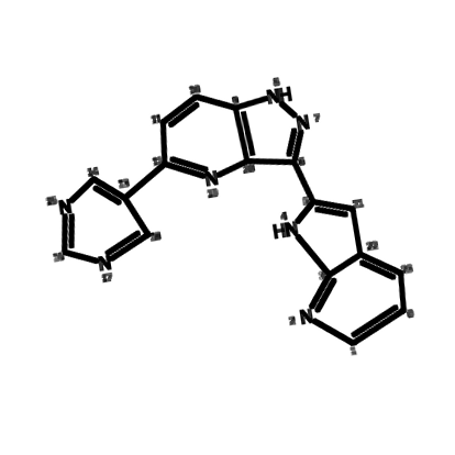 c1cnc2[nH]c(-c3n[nH]c4ccc(-c5cncnc5)nc34)cc2c1